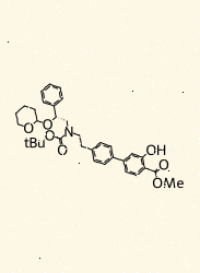 COC(=O)c1ccc(-c2ccc(CCN(C[C@H](OC3CCCCO3)c3ccccc3)C(=O)OC(C)(C)C)cc2)cc1O